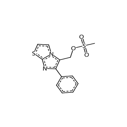 CS(=O)(=O)OCc1c(-c2ccccc2)nc2sccn12